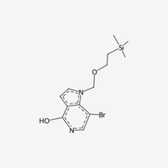 C[Si](C)(C)CCOCn1ccc2c(O)ncc(Br)c21